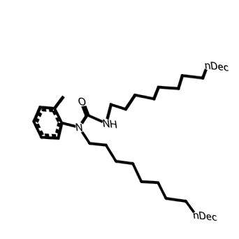 CCCCCCCCCCCCCCCCCCNC(=O)N(CCCCCCCCCCCCCCCCCC)c1ccccc1C